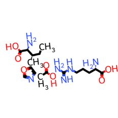 CC(=O)O.CC[C@H](C)[C@H](N)C(=O)O.N=C(N)NCCC[C@H](N)C(=O)O.c1cocn1